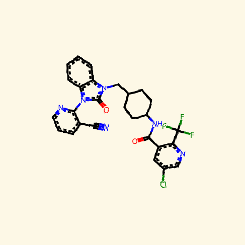 N#Cc1cccnc1-n1c(=O)n(CC2CCC(NC(=O)c3cc(Cl)cnc3C(F)(F)F)CC2)c2ccccc21